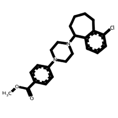 COC(=O)c1ccc(N2CCN(C3CCCCc4c(Cl)cccc43)CC2)cc1